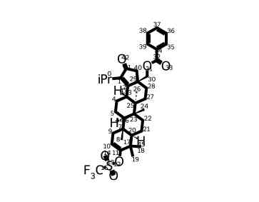 CC(C)C1=C2[C@H]3CC[C@@H]4[C@@]5(C)CC=C(OS(=O)(=O)C(F)(F)F)C(C)(C)[C@@H]5CC[C@@]4(C)[C@]3(C)CC[C@@]2(COC(=O)c2ccccc2)CC1=O